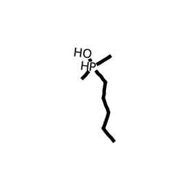 CCCCC[PH](C)(C)O